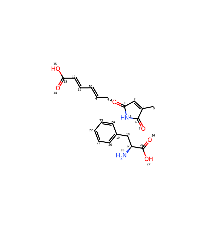 CC1=CC(=O)NC1=O.CC=CC=CC(=O)O.N[C@@H](Cc1ccccc1)C(=O)O